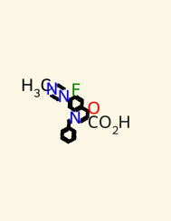 CN1CCN(c2cc3c(cc2F)c(=O)c(C(=O)O)cn3Cc2ccccc2)CC1